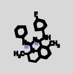 Cc1ccccc1/C(=N\C(=N/c1ccccc1)N1CCCCC1C)Nc1ccc(F)cc1